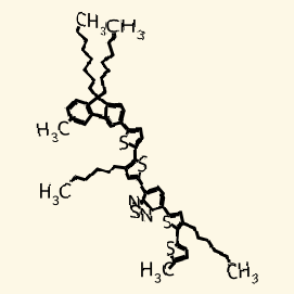 CCCCCCCCC1(CCCCCCCC)c2ccc(C)cc2-c2cc(-c3ccc(-c4sc(-c5ccc(-c6cc(CCCCCC)c(-c7ccc(C)s7)s6)c6nsnc56)cc4CCCCCC)s3)ccc21